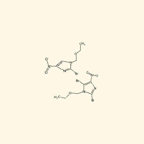 CCOCn1c(Br)nc([N+](=O)[O-])c1Br.CCOCn1cc([N+](=O)[O-])nc1Br